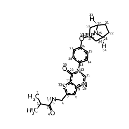 CC(C)C(=O)NCc1cc2ncn(-c3ccc(O[C@H]4C[C@H]5CC[C@@H](C4)N5C)cc3)c(=O)c2s1